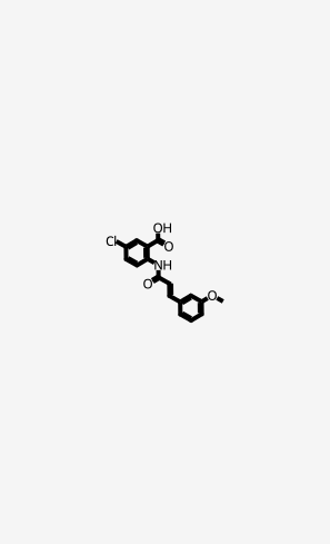 COc1cccc(C=CC(=O)Nc2ccc(Cl)cc2C(=O)O)c1